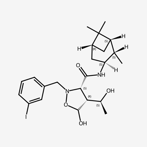 C[C@@H]1[C@@H](NC(=O)[C@@H]2[C@H]([C@H](C)O)C(O)ON2Cc2cccc(I)c2)C[C@H]2C[C@@H]1C2(C)C